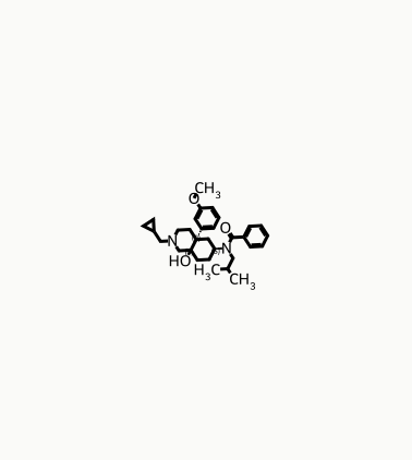 COc1cccc([C@@]23CCN(CC4CC4)C[C@@]2(O)CC[C@H](N(CC(C)C)C(=O)c2ccccc2)C3)c1